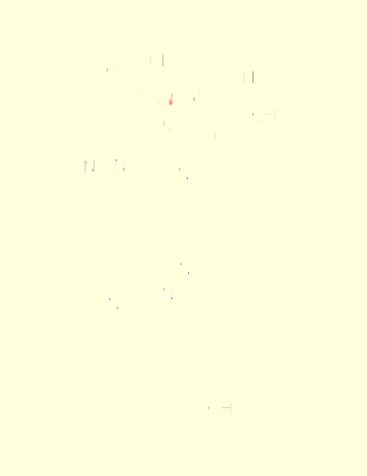 Cc1ccc(-n2nc(C3CN(C(=O)OC(C)(C)C)C3)c3c(-c4cnn(CCS(C)(=O)=O)c4)ccnc32)cc1